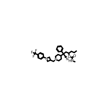 CCCC(CC(C#N)(c1ccccc1)C1CCN(CC2CN(c3ccc(C(F)(F)F)cc3)C2)CC1)OC(=O)NC